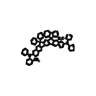 Cc1ccccc1N(c1ccccc1)c1ccc2cc3c(cc2c1)C(c1ccccc1)(c1ccccc1)c1cc2c(cc1-3)-c1cc3ccc(N(c4ccccc4)c4ccccc4C)cc3cc1C2(c1ccccc1)c1ccccc1